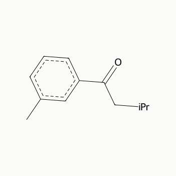 Cc1cccc(C(=O)CC(C)C)c1